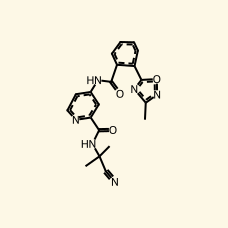 Cc1noc(-c2ccccc2C(=O)Nc2ccnc(C(=O)NC(C)(C)C#N)c2)n1